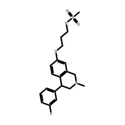 CN1Cc2cc(OCCCOS(C)(=O)=O)ccc2C(c2cccc(F)c2)C1